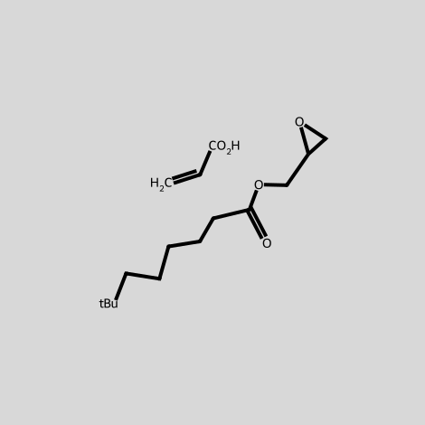 C=CC(=O)O.CC(C)(C)CCCCCC(=O)OCC1CO1